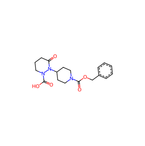 O=C(OCc1ccccc1)N1CCC(N2C(=O)CCCN2C(=O)O)CC1